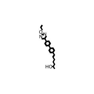 C=CCOc1ncc(-c2ccc(-c3ccc(C=CCCCC(C)O)cc3)cc2)cn1